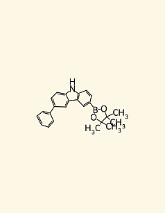 CC1(C)OB(c2ccc3[nH]c4ccc(-c5ccccc5)cc4c3c2)OC1(C)C